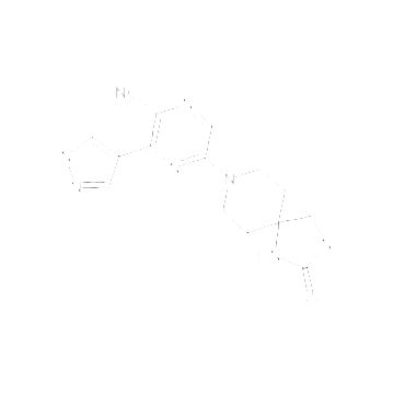 N#Cc1ncc(N2CCC3(CC2)CNC(=O)N3)nc1-c1cn[nH]c1